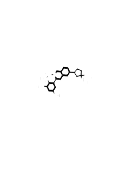 Cc1cc(C)c(C)c(-c2cc3cc(C4CCC(C)(C)C4)ccc3c[n+]2C)c1